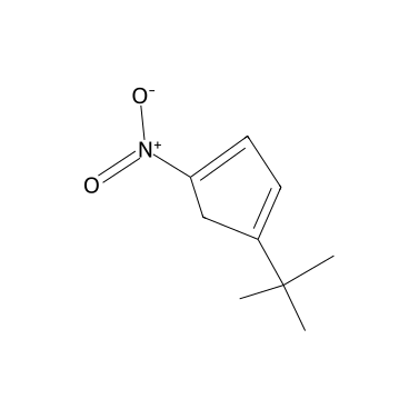 CC(C)(C)C1=CC=C([N+](=O)[O-])C1